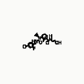 CC1=C(N(C(=O)NCc2ccc(Cl)cc2F)C2CC2)CCCN1C(=O)NCCO